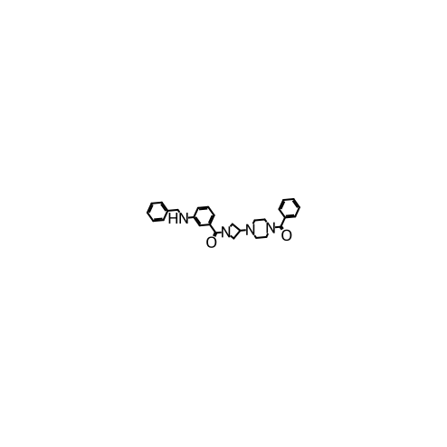 O=C(c1ccccc1)N1CCN(C2CN(C(=O)c3cccc(NCc4ccccc4)c3)C2)CC1